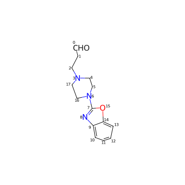 O=CCCN1CCN(c2nc3ccccc3o2)CC1